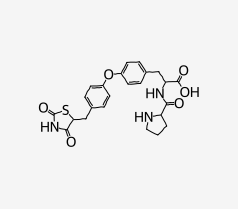 O=C1NC(=O)C(Cc2ccc(Oc3ccc(CC(NC(=O)C4CCCN4)C(=O)O)cc3)cc2)S1